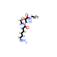 CC(C)CNC(=O)C1CN(C(=O)CCCCCN)CCO1